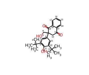 CC(C)(C)c1cc(C2(CO)CC(=O)c3ccccc3C2=O)cc(C(C)(C)C)c1O